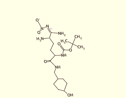 CC(C)(C)OC(=O)NC(CCC(N)/C(N)=N\[N+](=O)[O-])C(=O)NCC1CCC(O)CC1